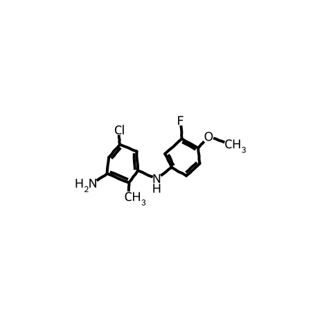 COc1ccc(Nc2cc(Cl)cc(N)c2C)cc1F